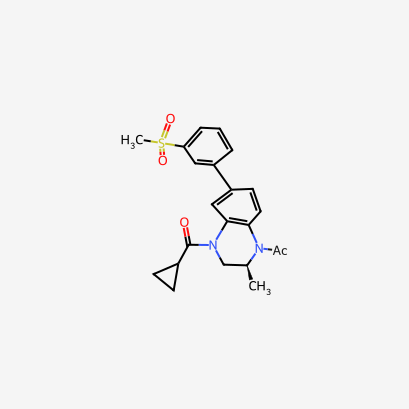 CC(=O)N1c2ccc(-c3cccc(S(C)(=O)=O)c3)cc2N(C(=O)C2CC2)C[C@@H]1C